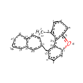 Cc1cccc2oc3cccc(-c4ccc5ccccc5c4)c3c12